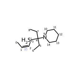 C/C=C\[SiH2]C(CC)(CC)N1CCCCC1